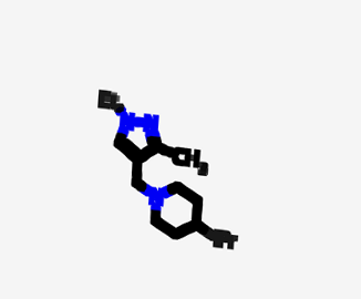 CCn1cc(CN2CCC(C(C)C)CC2)c(C)n1